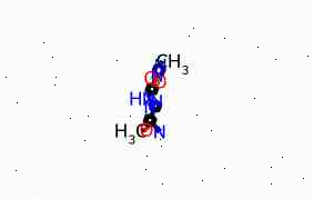 COc1ccc(-c2ccnc(Nc3ccc(S(=O)(=O)N4CCN(C)CC4)cc3)n2)cc1C#N